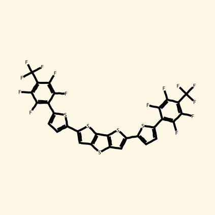 Fc1c(F)c(C(F)(F)F)c(F)c(F)c1-c1ccc(-c2cc3sc4cc(-c5ccc(-c6c(F)c(F)c(C(F)(F)F)c(F)c6F)s5)sc4c3s2)s1